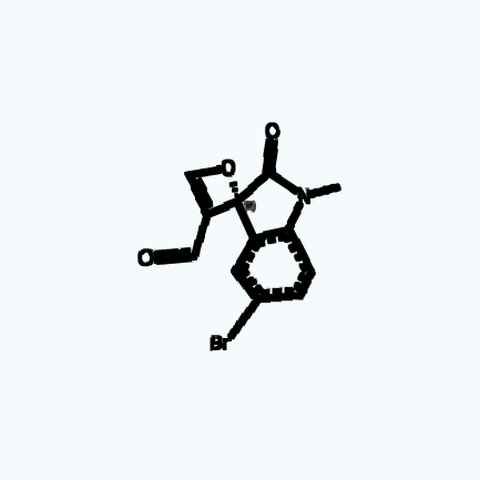 CN1C(=O)[C@@]2(OC=C2C=O)c2cc(Br)ccc21